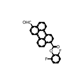 O=Cc1ccc2c3cccc4c(C(=O)Oc5c(F)cccc5F)ccc(c5cccc1c25)c43